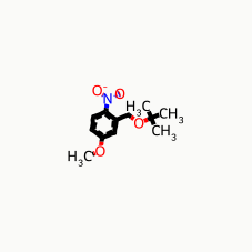 COc1ccc([N+](=O)[O-])c(COC(C)(C)C)c1